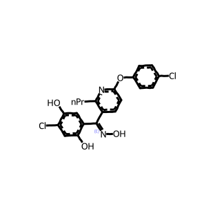 CCCc1nc(Oc2ccc(Cl)cc2)ccc1/C(=N\O)c1cc(O)c(Cl)cc1O